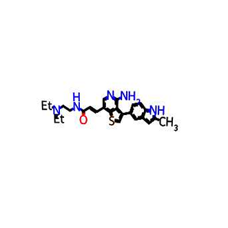 CCN(CC)CCNC(=O)/C=C/c1cnc(N)c2c(-c3ccc4[nH]c(C)cc4c3)csc12